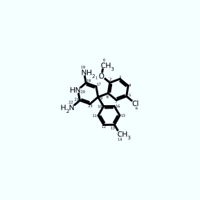 COc1ccc(Cl)cc1C1(c2ccc(C)cc2)C=C(N)NC(N)=C1